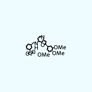 COc1cc(-c2cc3nccc(NCc4cccc(S(C)(=O)=O)c4)c3o2)cc(OC)c1OC